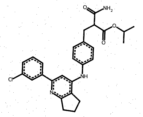 CC(C)OC(=O)C(Cc1ccc(Nc2cc(-c3cccc(Cl)c3)nc3c2CCC3)cc1)C(N)=O